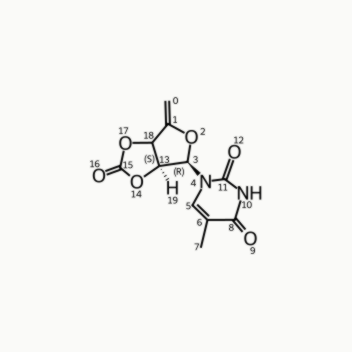 C=C1O[C@@H](n2cc(C)c(=O)[nH]c2=O)[C@H]2OC(=O)OC12